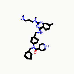 Cc1ccc2c(NCc3ccc(N(Cc4ccccc4)C(=O)C4CCNCC4)cc3)nc(N(C)CCCN(C)C)nc2c1